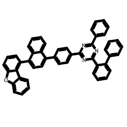 c1ccc(-c2nc(-c3ccc(-c4ccc(-c5cccc6oc7ccccc7c56)c5ccccc45)cc3)nc(-c3ccccc3-c3ccccc3)n2)cc1